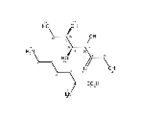 NCCCCC(N)C(=O)O.O=C(CO)[C@@H](O)[C@@H](O)[C@H](O)CO